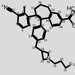 Cc1c(C#N)cccc1C1=C(c2ccc(CC3CN(CCCF)C3)cc2)c2ccc(C(=O)O)cc2CCC1.Cl